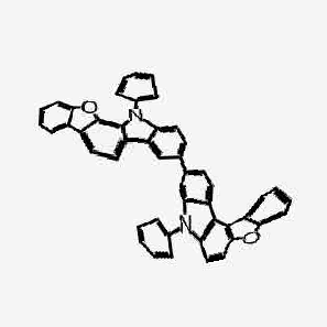 c1ccc(-n2c3cc(-c4ccc5c(c4)c4ccc6c7ccccc7oc6c4n5-c4ccccc4)ccc3c3c4c(ccc32)oc2ccccc24)cc1